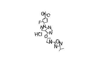 CC(C)c1noc(N2CCC(Oc3ncnc4c3cnn4-c3ccc(S(C)(=O)=O)cc3F)C2)n1.Cl